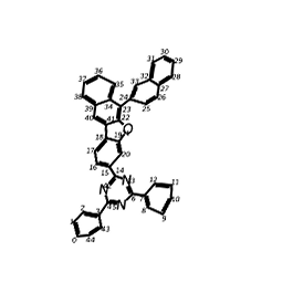 c1ccc(-c2nc(-c3ccccc3)nc(-c3ccc4c(c3)oc3c(-c5ccc6ccccc6c5)c5ccccc5cc34)n2)cc1